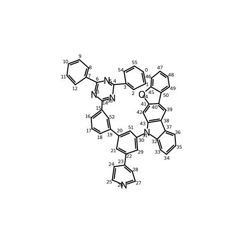 c1ccc(-c2nc(-c3ccccc3)nc(-c3cccc(-c4cc(-c5ccncc5)cc(-n5c6ccccc6c6cc7c(cc65)oc5ccccc57)c4)c3)n2)cc1